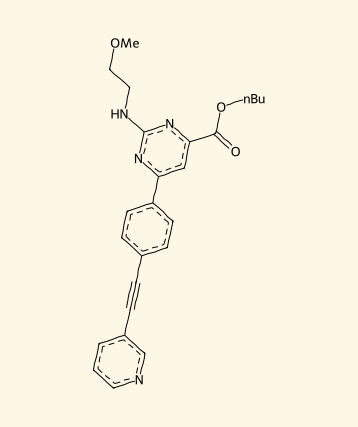 CCCCOC(=O)c1cc(-c2ccc(C#Cc3cccnc3)cc2)nc(NCCOC)n1